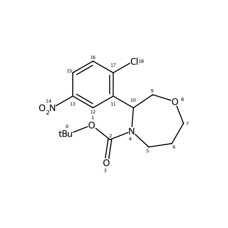 CC(C)(C)OC(=O)N1CCCOCC1c1cc([N+](=O)[O-])ccc1Cl